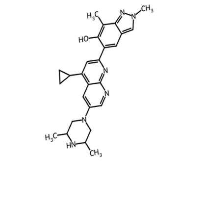 Cc1c(O)c(-c2cc(C3CC3)c3cc(N4CC(C)NC(C)C4)cnc3n2)cc2cn(C)nc12